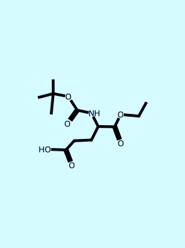 CCOC(=O)C(CCC(=O)O)NC(=O)OC(C)(C)C